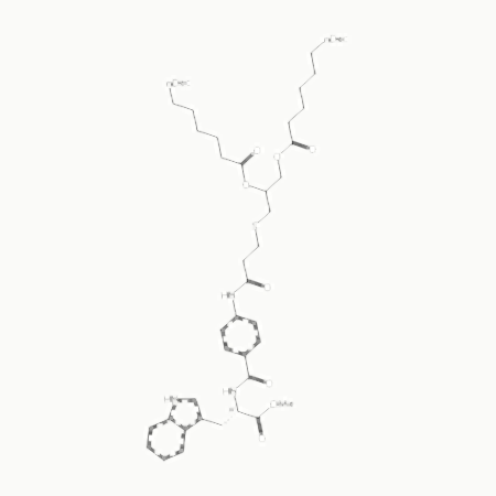 CCCCCCCCCCCCCCCC(=O)OCC(CSCCC(=O)Nc1ccc(C(=O)N[C@@H](Cc2c[nH]c3ccccc23)C(=O)OC)cc1)OC(=O)CCCCCCCCCCCCCCC